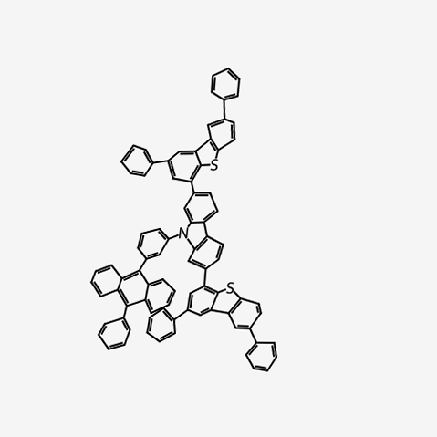 c1ccc(-c2ccc3sc4c(-c5ccc6c7ccc(-c8cc(-c9ccccc9)cc9c8sc8ccc(-c%10ccccc%10)cc89)cc7n(-c7cccc(-c8c9ccccc9c(-c9ccccc9)c9ccccc89)c7)c6c5)cc(-c5ccccc5)cc4c3c2)cc1